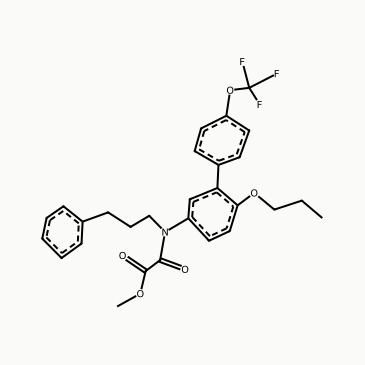 CCCOc1ccc(N(CCCc2ccccc2)C(=O)C(=O)OC)cc1-c1ccc(OC(F)(F)F)cc1